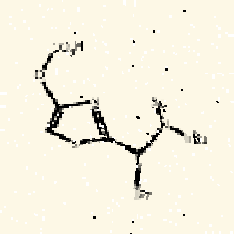 CCCCN(C(C)=O)C(c1nc(OC(=O)O)cs1)C(C)C